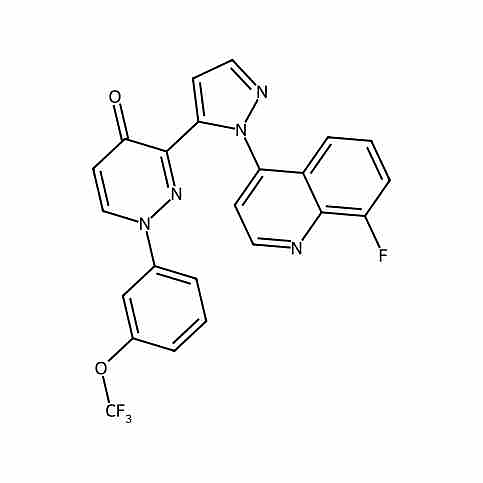 O=c1ccn(-c2cccc(OC(F)(F)F)c2)nc1-c1ccnn1-c1ccnc2c(F)cccc12